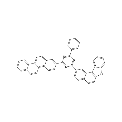 c1ccc(-c2nc(-c3ccc4c(ccc5c6ccccc6ccc45)c3)nc(-c3ccc4ccc5oc6ccccc6c5c4c3)n2)cc1